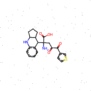 NC(CC(=O)C(=O)c1ccsc1)(C(=O)O)C1c2ccccc2NC2CCCC21